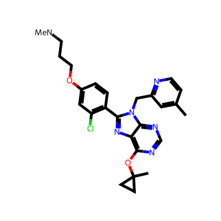 CNCCCOc1ccc(-c2nc3c(OC4(C)CC4)ncnc3n2Cc2cc(C)ccn2)c(Cl)c1